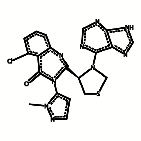 Cn1nccc1-n1c([C@@H]2CSCN2c2ncnc3[nH]cnc23)nc2cccc(Cl)c2c1=O